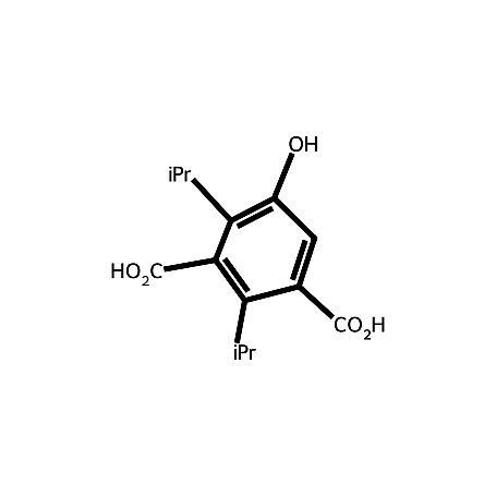 CC(C)c1c(O)cc(C(=O)O)c(C(C)C)c1C(=O)O